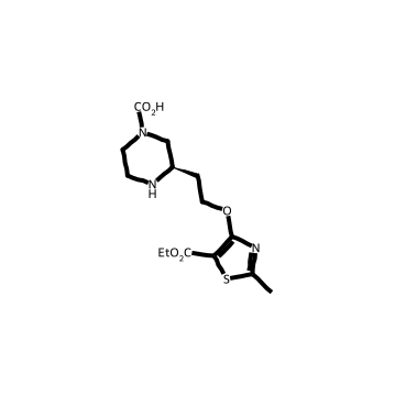 CCOC(=O)c1sc(C)nc1OCC[C@@H]1CN(C(=O)O)CCN1